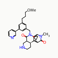 COCCCc1cc(CN(C(=O)C2CNCC[C@@H]2c2ccn(C)c(=O)c2)C2CC2)cc(-c2cccnc2)c1